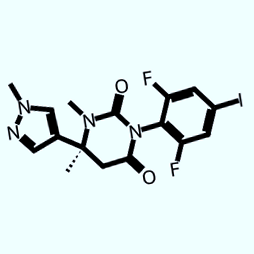 CN1C(=O)N(c2c(F)cc(I)cc2F)C(=O)C[C@@]1(C)c1cnn(C)c1